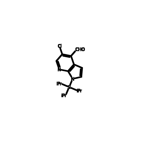 CC(C)[Si](C(C)C)(C(C)C)n1ccc2c(C=O)c(Cl)cnc21